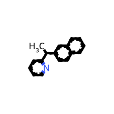 C[C](c1ccc2ccccc2c1)c1ccccn1